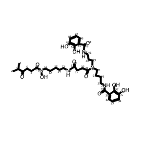 CC(C)C(=O)CCC(=O)N(O)CCCCCNC(=O)CCC(=O)N(CCCCNC(=O)c1cccc(O)c1O)CCCNC(=O)c1cccc(O)c1O